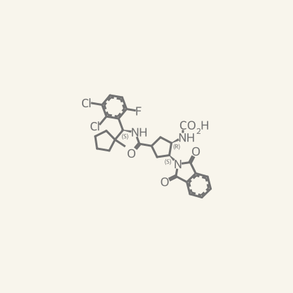 CC1([C@H](NC(=O)C2C[C@@H](NC(=O)O)[C@@H](N3C(=O)c4ccccc4C3=O)C2)c2c(F)ccc(Cl)c2Cl)CCCC1